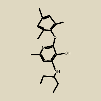 CCC(CC)Nc1cc(C)nc(Oc2c(C)cc(C)cc2C)c1O